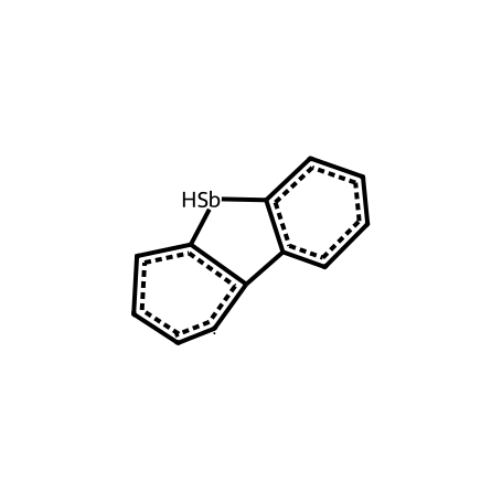 [c]1ccc[c]2c1-c1cccc[c]1[SbH]2